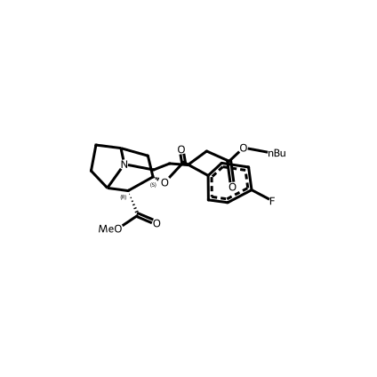 CCCCOC(=O)CCCCN1C2CCC1[C@@H](C(=O)OC)[C@@H](OC(=O)c1ccc(F)cc1)C2